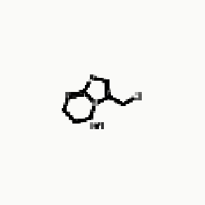 Cl.ClCC1=CSC2=NCCCN12